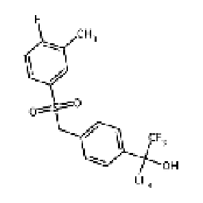 Cc1cc(S(=O)(=O)Cc2ccc(C(O)(C(F)(F)F)C(F)(F)F)cc2)ccc1F